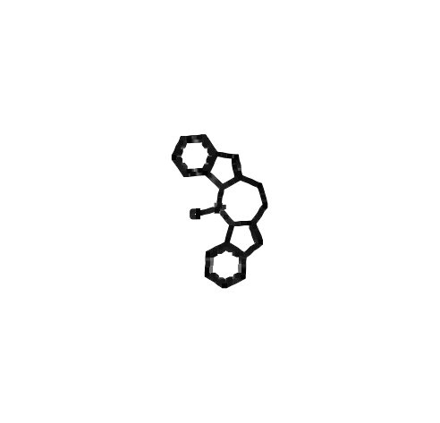 [Cl][Zr]1[CH]2C(=Cc3ccccc32)CCC2=Cc3ccccc3[CH]21